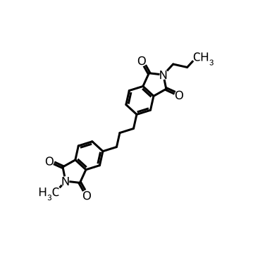 CCCN1C(=O)c2ccc(CCCc3ccc4c(c3)C(=O)N(C)C4=O)cc2C1=O